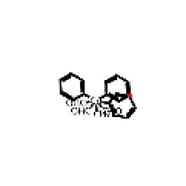 O=[CH][Co]([CH]=O)([CH]=O)([CH]=O)([c]1ccccc1)([c]1ccccc1)[c]1ccccc1